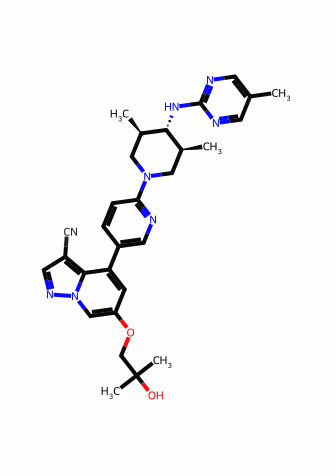 Cc1cnc(N[C@H]2[C@H](C)CN(c3ccc(-c4cc(OCC(C)(C)O)cn5ncc(C#N)c45)cn3)C[C@@H]2C)nc1